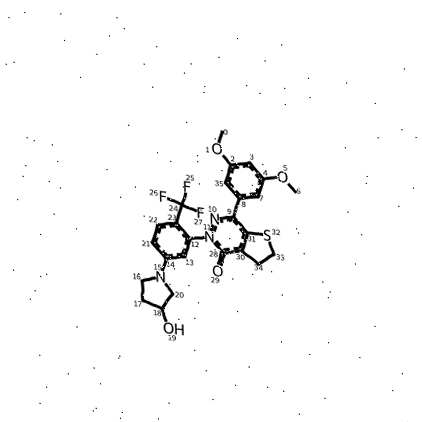 COc1cc(OC)cc(-c2nn(-c3cc(N4CCC(O)C4)ccc3C(F)(F)F)c(=O)c3c2SCC3)c1